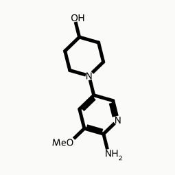 COc1cc(N2CCC(O)CC2)cnc1N